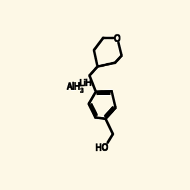 OCc1ccc(CC2CCOCC2)cc1.[AlH3].[LiH]